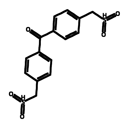 O=C(c1ccc(C[SH](=O)=O)cc1)c1ccc(C[SH](=O)=O)cc1